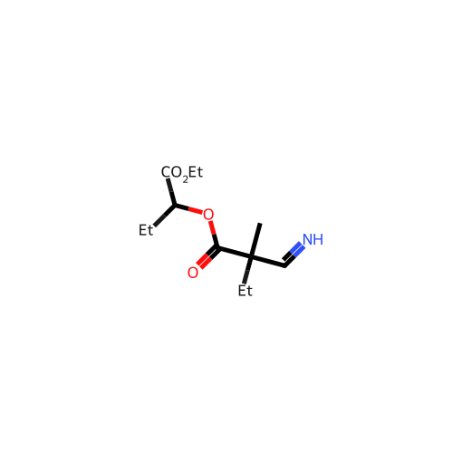 CCOC(=O)C(CC)OC(=O)C(C)(C=N)CC